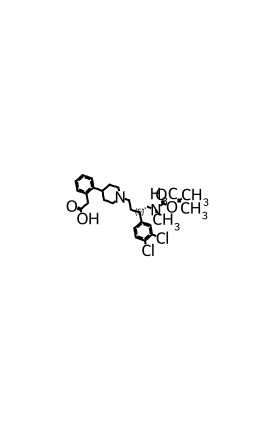 CN(C[C@@H](CCN1CCC(c2ccccc2CC(=O)O)CC1)c1ccc(Cl)c(Cl)c1)C(=O)OC(C)(C)C